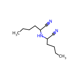 CCCCC(C#N)NC(C#N)CCCC